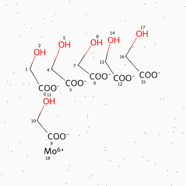 O=C([O-])CO.O=C([O-])CO.O=C([O-])CO.O=C([O-])CO.O=C([O-])CO.O=C([O-])CO.[Mo+6]